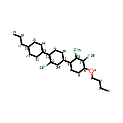 CCCCOC1CCC(C2CCC(C3CCC(CCC)CC3)C(F)C2)C(F)C1F